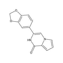 O=c1[nH]c(-c2ccc3c(c2)OCO3)cn2cccc12